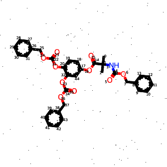 CC(C)(NC(=O)OCc1ccccc1)C(=O)Oc1ccc(OC(=O)OCc2ccccc2)c(OC(=O)OCc2ccccc2)c1